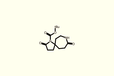 CC(C)(C)OC(=O)N1C(=O)CCC12CCNC(=O)CC2